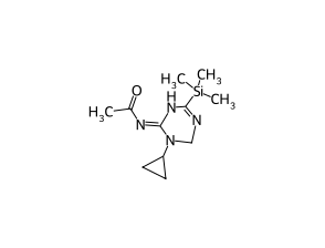 CC(=O)N=C1NC([Si](C)(C)C)=NCN1C1CC1